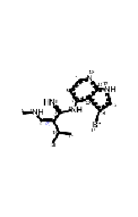 CN/C=C(\C(=N)Nc1ccnc2[nH]cc(Br)c12)C(C)C